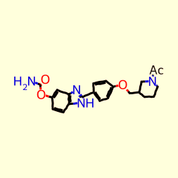 CC(=O)N1CCCC(COc2ccc(-c3nc4cc(OC(N)=O)ccc4[nH]3)cc2)C1